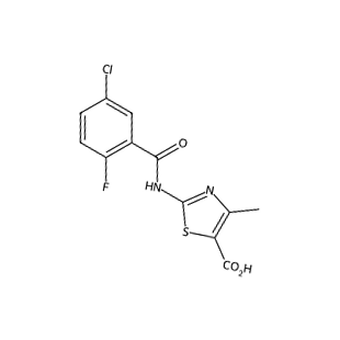 Cc1nc(NC(=O)c2cc(Cl)ccc2F)sc1C(=O)O